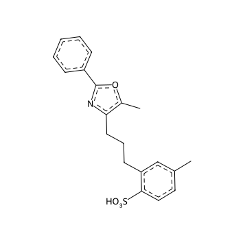 Cc1ccc(S(=O)(=O)O)c(CCCc2nc(-c3ccccc3)oc2C)c1